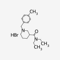 Br.CCN(CC)C(=O)C1CCCN(Cc2ccc(C)cc2)C1